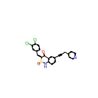 O=C1/C(=C\c2ccc(Cl)c(Cl)c2)[S+]([O-])Nc2ccc(C#CCc3ccncc3)cc21